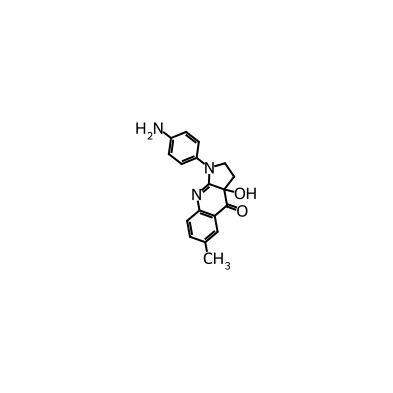 Cc1ccc2c(c1)C(=O)C1(O)CCN(c3ccc(N)cc3)C1=N2